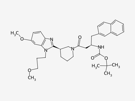 COCCCn1c([C@@H]2CCCN(C(=O)C[C@@H](Cc3ccc4ccccc4c3)NC(=O)OC(C)(C)C)C2)nc2ccc(OC)cc21